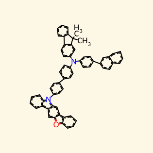 CC1(C)c2ccccc2-c2ccc(N(c3ccc(-c4ccc(-n5c6ccccc6c6cc7oc8ccccc8c7cc65)cc4)cc3)c3ccc(-c4ccc5ccccc5c4)cc3)cc21